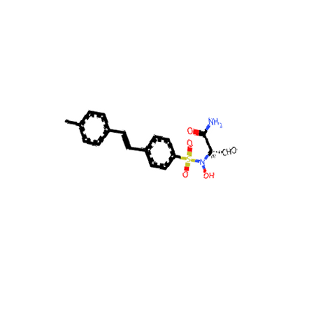 Cc1ccc(C=Cc2ccc(S(=O)(=O)N(O)[C@@H]([C]=O)C(N)=O)cc2)cc1